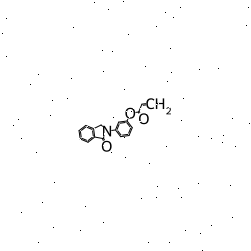 C=CC(=O)Oc1cccc(N2Cc3ccccc3C2=O)c1